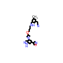 Cc1cc(CC#N)cc(CNCCCCOC2CN(c3cc(-c4cnoc4)cc4[nH]ncc34)C2)c1